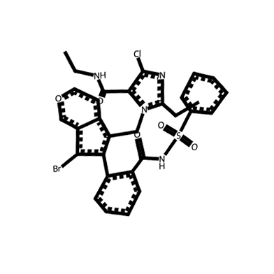 CCNC(=O)c1c(Cl)nc(CC)n1Cc1c2ccocc-2c(Br)c1-c1ccccc1C(=O)NS(=O)(=O)c1ccccc1